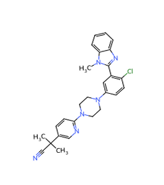 Cn1c(-c2cc(N3CCN(c4ccc(C(C)(C)C#N)cn4)CC3)ccc2Cl)nc2ccccc21